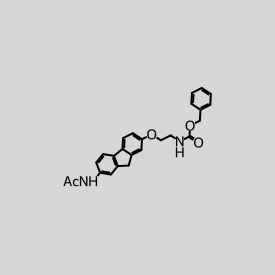 CC(=O)Nc1ccc2c(c1)Cc1cc(OCCNC(=O)OCc3ccccc3)ccc1-2